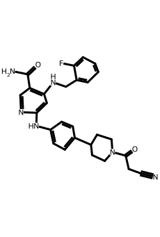 N#CCC(=O)N1CCC(c2ccc(Nc3cc(NCc4ccccc4F)c(C(N)=O)cn3)cc2)CC1